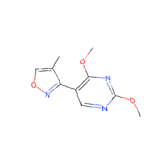 COc1ncc(-c2nocc2C)c(OC)n1